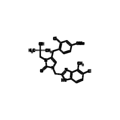 COc1ccc(Cc2cn(Cc3nc4c(C)c(Cl)ccc4[nH]3)c(=O)n2CC(C)(C)O)c(Cl)c1